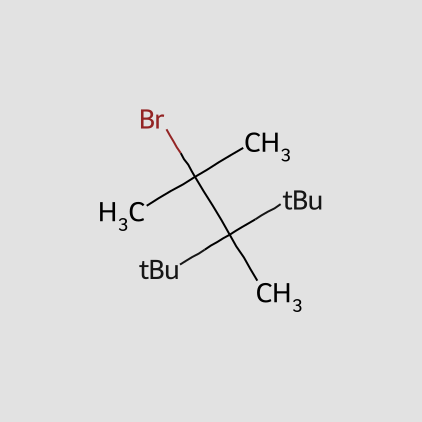 CC(C)(C)C(C)(C(C)(C)C)C(C)(C)Br